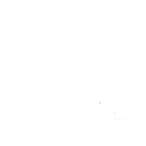 CCCCCCCCCCCCc1sc2c(ccc3sc4ccccc4c32)c1CCCCCCCCCCCC